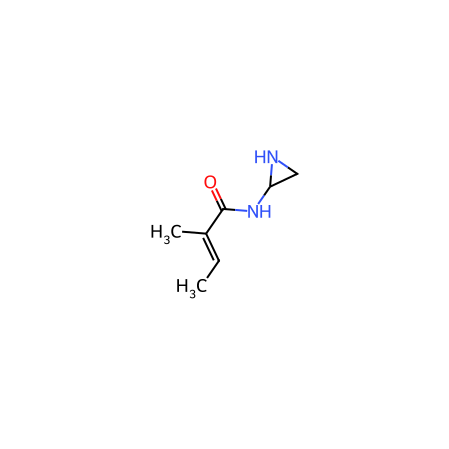 CC=C(C)C(=O)NC1CN1